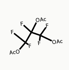 CC(=O)OC(F)(F)C(F)(OC(C)=O)C(F)(F)OC(C)=O